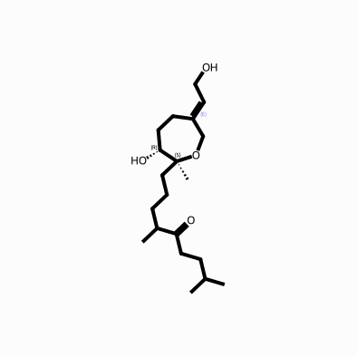 CC(C)CCC(=O)C(C)CCC[C@]1(C)OC/C(=C/CO)CC[C@H]1O